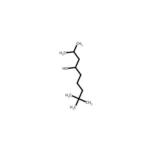 CC(C)CC(O)CCCC(C)(C)C